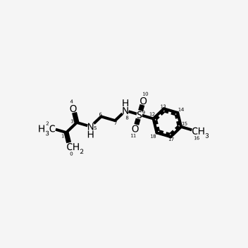 C=C(C)C(=O)NCCNS(=O)(=O)c1ccc(C)cc1